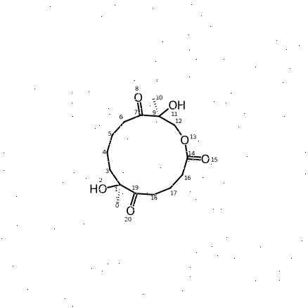 C[C@]1(O)CCCCC(=O)[C@@](C)(O)COC(=O)CCCC1=O